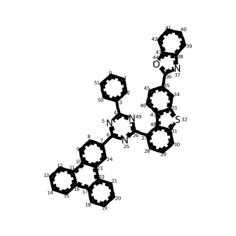 c1ccc(-c2nc(-c3ccc4c5ccccc5c5ccccc5c4c3)nc(-c3cccc4sc5cc(-c6nc7ccccc7o6)ccc5c34)n2)cc1